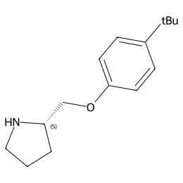 CC(C)(C)c1ccc(OC[C@@H]2CCCN2)cc1